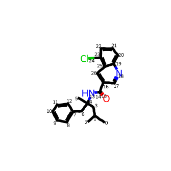 CC(C)CC(C)(Cc1ccccc1)NC(=O)c1cnc2cccc(Cl)c2c1